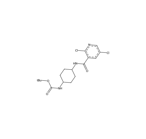 CC(C)(C)OC(=O)NC1CCC(NC(=O)c2cc(Cl)cnc2Cl)CC1